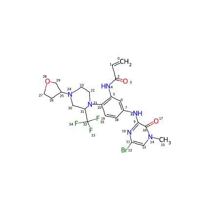 C=CC(=O)Nc1cc(Nc2nc(Br)cn(C)c2=O)ccc1N1CCN(C2CCOC2)CC1C(F)(F)F